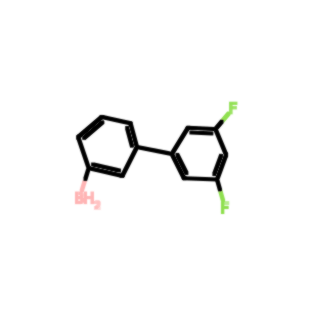 Bc1cccc(-c2cc(F)cc(F)c2)c1